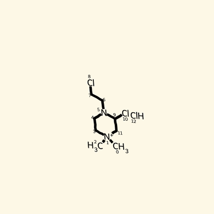 C[N+]1(C)CCN(CCCl)C(Cl)C1.Cl